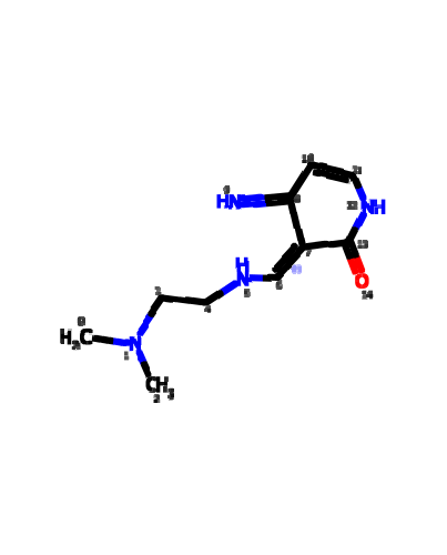 CN(C)CCN/C=C1\C(=N)C=CNC1=O